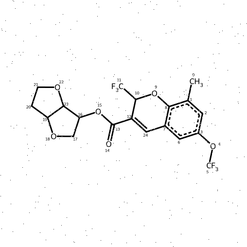 Cc1cc(OC(F)(F)F)cc2c1OC(C(F)(F)F)C(C(=O)OC1COC3CCOC31)=C2